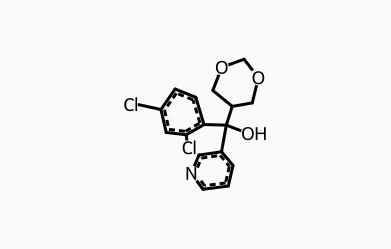 OC(c1cccnc1)(c1ccc(Cl)cc1Cl)C1COCOC1